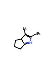 CCC1=C(C(C)(C)C)N=C2CCCC21